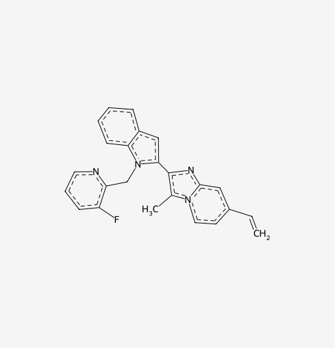 C=Cc1ccn2c(C)c(-c3cc4ccccc4n3Cc3ncccc3F)nc2c1